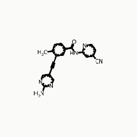 Cc1ccc(C(=O)Nc2cc(C#N)ccn2)cc1C#Cc1cnc(N)nc1